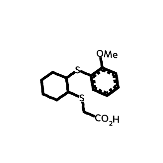 COc1ccccc1SC1CCCCC1SCC(=O)O